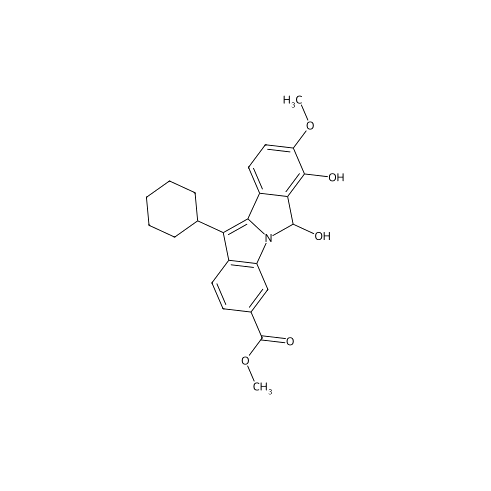 COC(=O)c1ccc2c(C3CCCCC3)c3n(c2c1)C(O)c1c-3ccc(OC)c1O